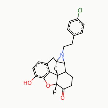 O=C1CCC2C3N(CCc4ccc(Cl)cc4)C34Cc3ccc(O)c5c3[C@@]2(C4)[C@H]1O5